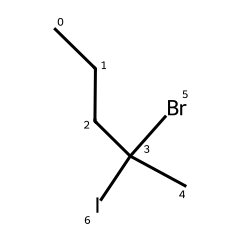 CCCC(C)(Br)I